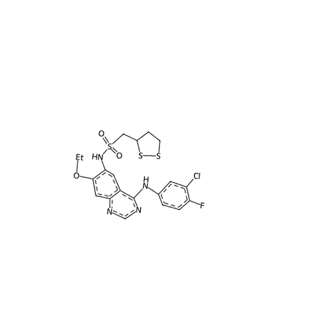 CCOc1cc2ncnc(Nc3ccc(F)c(Cl)c3)c2cc1NS(=O)(=O)CC1CCSS1